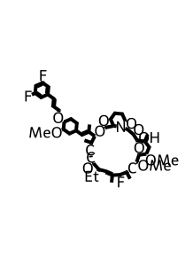 CCC1/C=C(\C)C(F)C(C)CC(OC)C2OC(O)(C(=O)C(=O)N3CCCCC3C(=O)OC(C(C)=CC3CCC(OCC=Cc4cc(F)cc(F)c4)C(OC)C3)C(C)CCC1=O)C(C)CC2OC